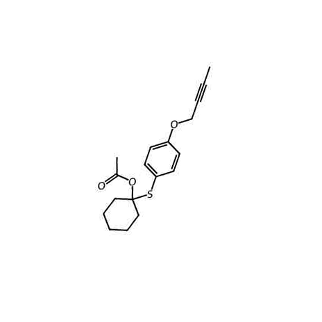 CC#CCOc1ccc(SC2(OC(C)=O)CCCCC2)cc1